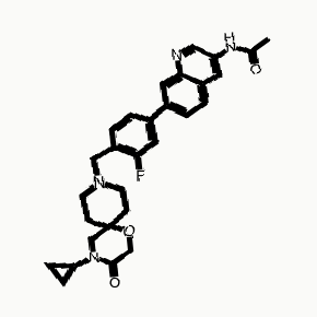 CC(=O)Nc1cnc2cc(-c3ccc(CN4CCC5(CC4)CN(C4CC4)C(=O)CO5)c(F)c3)ccc2c1